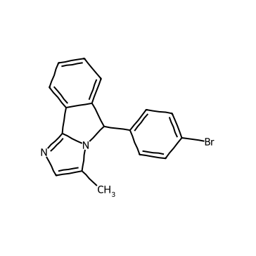 Cc1cnc2n1C(c1ccc(Br)cc1)c1ccccc1-2